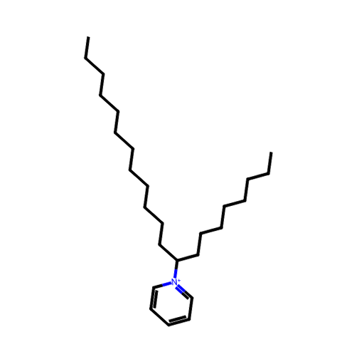 CCCCCCCCCCCCC(CCCCCCCC)[n+]1ccccc1